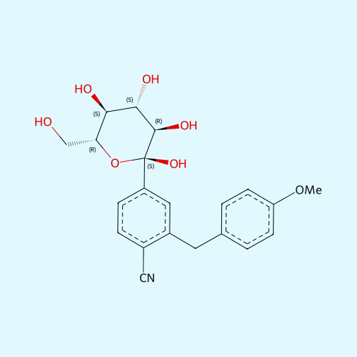 COc1ccc(Cc2cc([C@]3(O)O[C@H](CO)[C@@H](O)[C@H](O)[C@H]3O)ccc2C#N)cc1